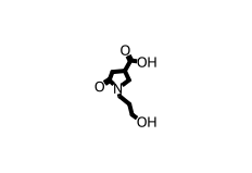 O=C(O)C1CC(=O)N(CCCO)C1